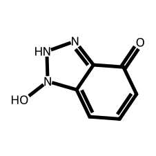 O=c1cccc2n(O)[nH]nc1-2